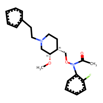 CO[C@@H]1CN(CCc2ccccc2)CC[C@@H]1CON(C(C)=O)c1ccccc1F